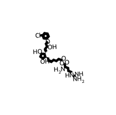 N=C(N)NCCC[C@H](N)C(=O)OC(=O)CCC/C=C\C[C@@H]1[C@@H](/C=C/[C@@H](O)COc2cccc(Cl)c2)[C@H](O)C[C@@H]1O